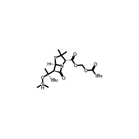 C[SiH](C)O[C@@](C)([C@@H]1C(=O)N2[C@@H]1SC(C)(C)[C@@H]2C(=O)OCOC(=O)C(C)(C)C)C(C)(C)C